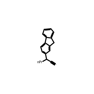 [C]#CC(CCC)c1ccc2c(c1)Cc1ccccc1-2